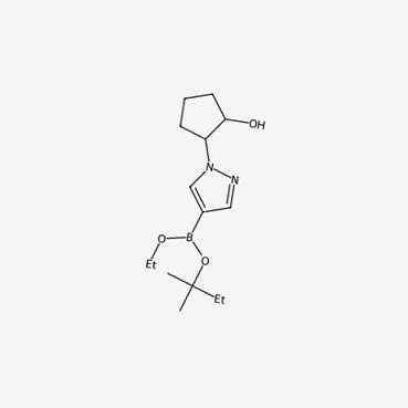 CCOB(OC(C)(C)CC)c1cnn(C2CCCC2O)c1